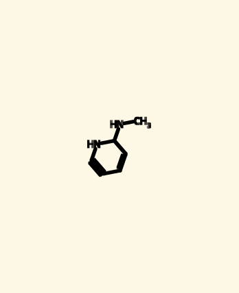 CNC1C=CC#CN1